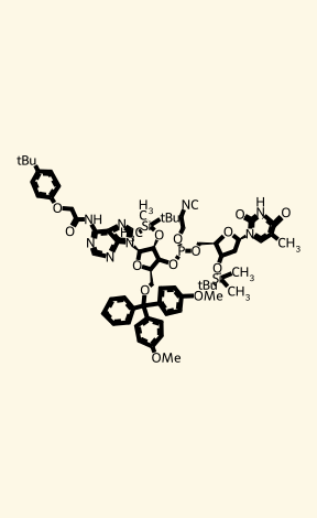 [C-]#[N+]CCOP(OC[C@H]1O[C@@H](n2cc(C)c(=O)[nH]c2=O)CC1O[Si](C)(C)C(C)(C)C)OC1[C@@H](COC(c2ccccc2)(c2ccc(OC)cc2)c2ccc(OC)cc2)O[C@@H](n2cnc3c(NC(=O)COc4ccc(C(C)(C)C)cc4)ncnc32)[C@H]1O[Si](C)(C)C(C)(C)C